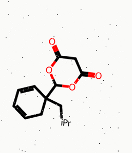 CC(C)CC1(C2OC(=O)CC(=O)O2)C=CC=CC1